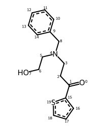 O=C(CCN(CCO)Cc1ccccc1)c1cccs1